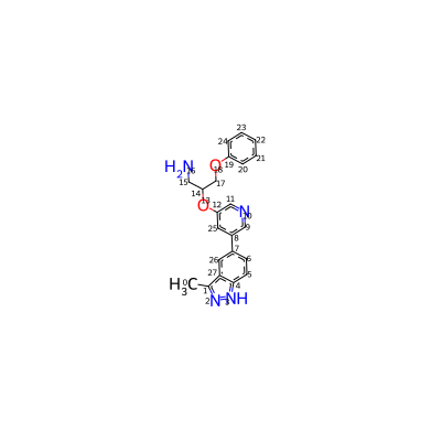 Cc1n[nH]c2ccc(-c3cncc(OC(CN)COc4ccccc4)c3)cc12